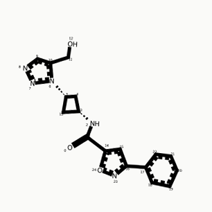 O=C(N[C@H]1C[C@@H](n2nncc2CO)C1)c1cc(-c2ccccc2)no1